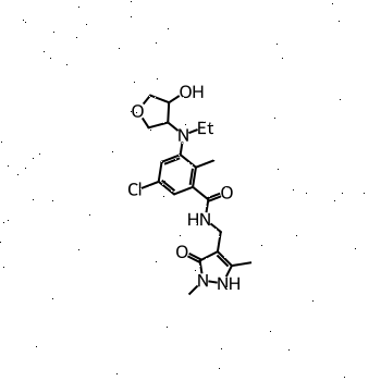 CCN(c1cc(Cl)cc(C(=O)NCc2c(C)[nH]n(C)c2=O)c1C)C1COCC1O